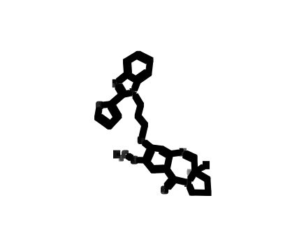 COc1cc2c(cc1OCCCn1c(-c3ccco3)nc3ccccc31)N=C[C@@H]1CCCN1C2=O